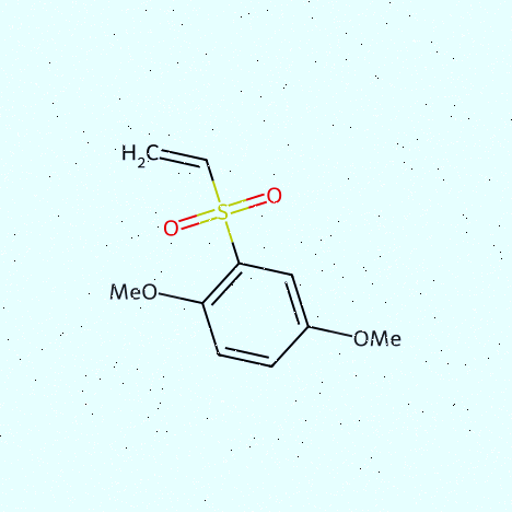 C=CS(=O)(=O)c1cc(OC)ccc1OC